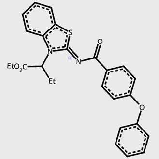 CCOC(=O)C(CC)n1/c(=N/C(=O)c2ccc(Oc3ccccc3)cc2)sc2ccccc21